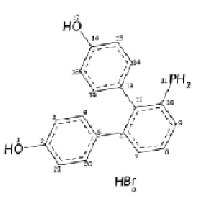 Br.Oc1ccc(-c2cccc(P)c2-c2ccc(O)cc2)cc1